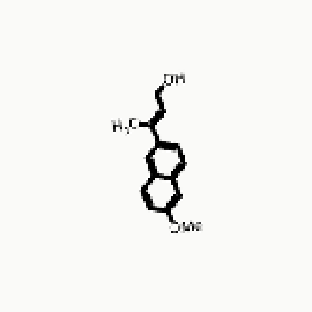 COc1ccc2cc(/C(C)=C/CO)ccc2c1